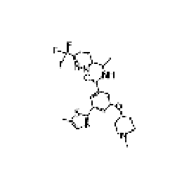 Cc1cnc(-c2cc(OC3CCN(C)CC3)cc(C(=O)NC(C)c3ccc(C(F)(F)F)nn3)c2)s1